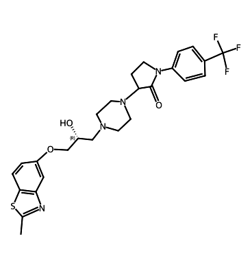 Cc1nc2cc(OC[C@H](O)CN3CCN(C4CCN(c5ccc(C(F)(F)F)cc5)C4=O)CC3)ccc2s1